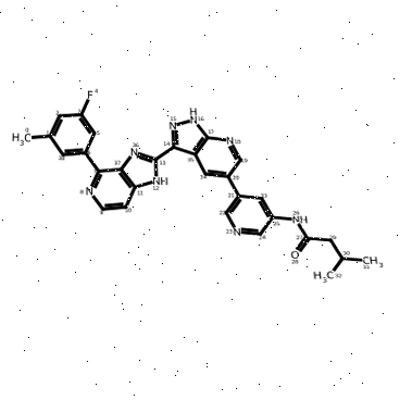 Cc1cc(F)cc(-c2nccc3[nH]c(-c4n[nH]c5ncc(-c6cncc(NC(=O)CC(C)C)c6)cc45)nc23)c1